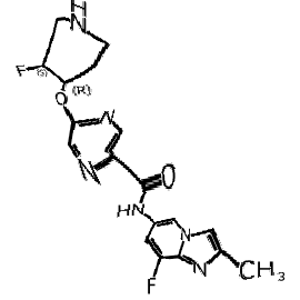 Cc1cn2cc(NC(=O)c3cnc(O[C@@H]4CCNC[C@@H]4F)cn3)cc(F)c2n1